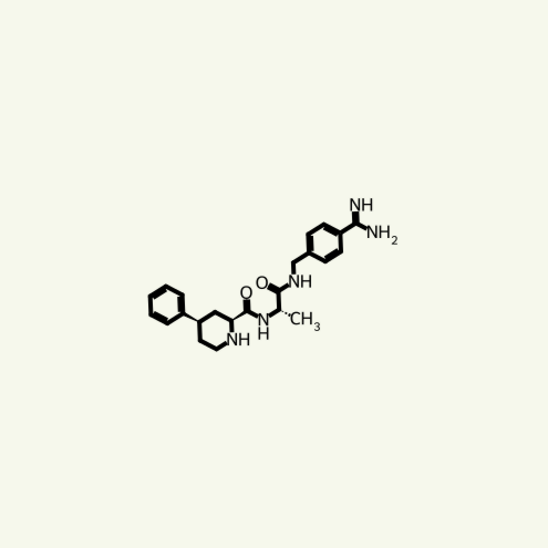 C[C@H](NC(=O)[C@@H]1C[C@H](c2ccccc2)CCN1)C(=O)NCc1ccc(C(=N)N)cc1